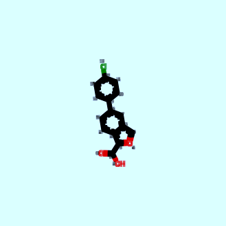 O=C(O)c1occ2cc(-c3ccc(Cl)cc3)ccc12